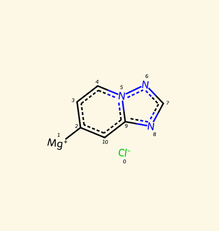 [Cl-].[Mg+][c]1ccn2ncnc2c1